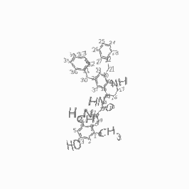 Cc1cc(O)cc(C)c1C[C@H](N)C(=O)N[C@@H]1CCNc2c(Cc3ccccc3)cc(Cc3ccccc3)cc21